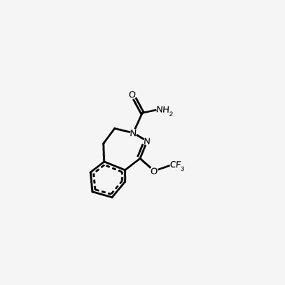 NC(=O)N1CCc2ccccc2C(OC(F)(F)F)=N1